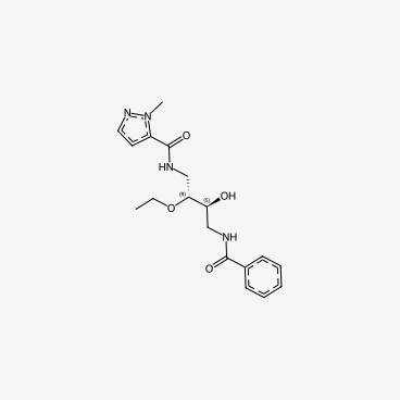 CCO[C@H](CNC(=O)c1ccnn1C)[C@@H](O)CNC(=O)c1ccccc1